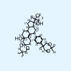 CC1(C)COC2(CCC3=C4C(CCC3(O)C2)C2CC[C@@](O)(C(F)(F)C(F)(F)F)[C@@]2(C)C[C@@H]4c2ccc(C3(C)COC(C)(C)OC3)cc2)OC1